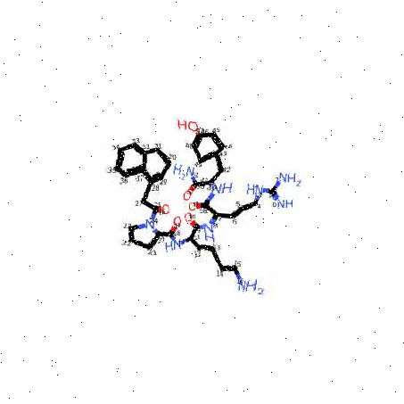 N=C(N)NCCCC(NC(=O)C(CCCCN)NC(=O)C1CCCN1C(=O)Cc1cccc2ccccc12)C(=O)NC(Cc1ccc(O)cc1)C(N)=O